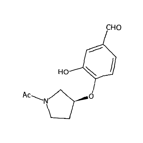 CC(=O)N1CC[C@H](Oc2ccc(C=O)cc2O)C1